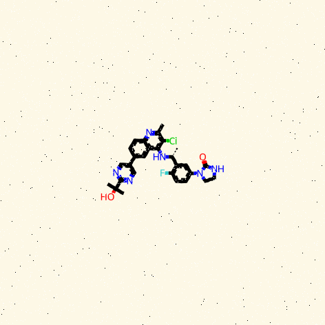 Cc1nc2ccc(-c3cnc(C(C)(C)O)nc3)cc2c(N[C@H](C)c2cc(N3CCNC3=O)ccc2F)c1Cl